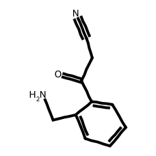 N#CCC(=O)c1ccccc1CN